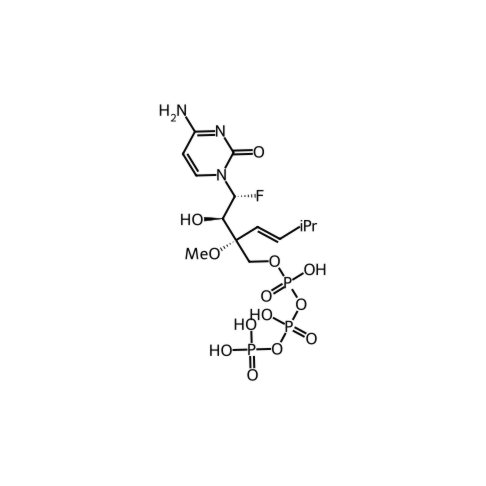 CO[C@](/C=C/C(C)C)(COP(=O)(O)OP(=O)(O)OP(=O)(O)O)[C@@H](O)[C@@H](F)n1ccc(N)nc1=O